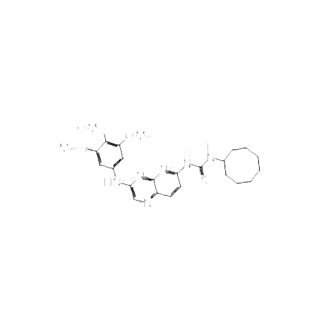 COc1cc(Nc2cnc3ccc(NC(=S)NC4CCCCCCC4)nc3n2)cc(OC)c1OC